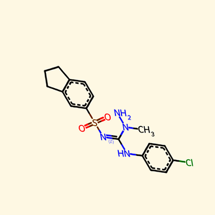 CN(N)/C(=N\S(=O)(=O)c1ccc2c(c1)CCC2)Nc1ccc(Cl)cc1